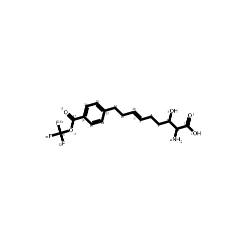 NC(C(=O)O)C(O)CC/C=C/CCc1ccc(C(=O)OC(F)(F)F)cc1